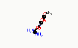 Nc1ccc(N)c(CCOC(=O)/C=C/c2ccc(OC(=O)c3ccc(OCC(F)(F)F)cc3)cc2)c1